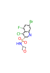 O=S(=O)(NC1COC1)c1cnc2cc(Br)cc(F)c2c1Cl